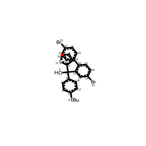 CC(C)(C)c1ccc(C(O)(c2cccs2)c2cc(Br)ccc2-c2ccc(Br)cc2)cc1